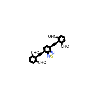 O=Cc1cccc(C=O)c1C#Cc1ccc(C#Cc2c(C=O)cccc2C=O)c2nsnc12